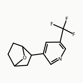 FC(F)(F)c1cncc(C2CC3CCC2O3)c1